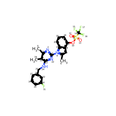 Cc1nc(-n2c(C)cc3c(OS(=O)(=O)C(F)(F)F)cccc32)nc(NCc2cccc(F)c2)c1C